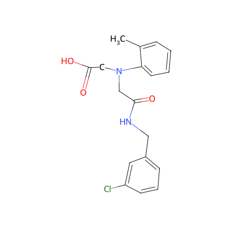 Cc1ccccc1N(CC(=O)O)CC(=O)NCc1cccc(Cl)c1